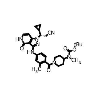 Cc1cc(Nc2nn([C@@H](CC#N)C3CC3)c3cc[nH]c(=O)c23)ccc1C(=O)N1CCC(N(C)C(=O)OC(C)(C)C)CC1